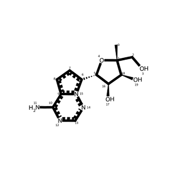 C[C@]1(CO)O[C@@H](c2ccc3c(N)ncnn23)[C@H](O)[C@@H]1O